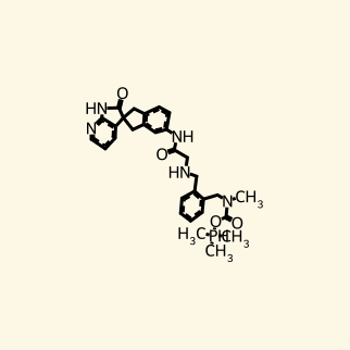 CN(Cc1ccccc1CNCC(=O)Nc1ccc2c(c1)CC1(C2)C(=O)Nc2ncccc21)C(=O)O[PH](C)(C)C